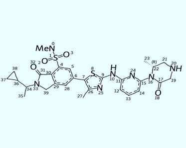 CNS(=O)(=O)c1cc(-c2sc(Nc3cccc(N4C(=O)CNC[C@H]4C)n3)nc2C)cc2c1C(=O)N(C(C)C1CC1)C2